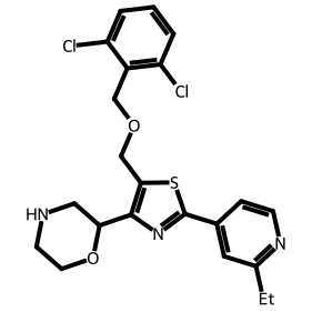 CCc1cc(-c2nc(C3CNCCO3)c(COCc3c(Cl)cccc3Cl)s2)ccn1